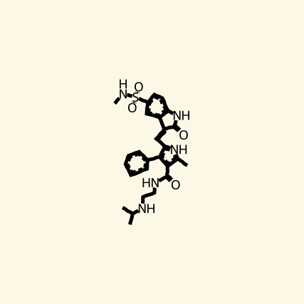 CNS(=O)(=O)c1ccc2c(c1)C(=Cc1[nH]c(C)c(C(=O)NCCNC(C)C)c1-c1ccccc1)C(=O)N2